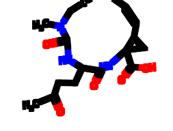 CC(=O)CCC1NC(=O)N(C)CCCCC=CC2CC2(C(=O)O)NC1=O